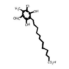 Cc1c(Cl)c(O)c(CCCCCCCCCCCC(=O)O)c(O)c1C=O